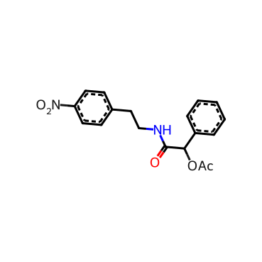 CC(=O)OC(C(=O)NCCc1ccc([N+](=O)[O-])cc1)c1ccccc1